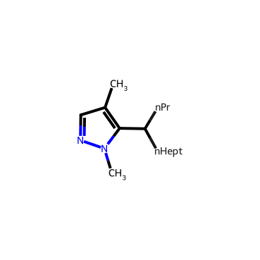 CCCCCCCC(CCC)c1c(C)cnn1C